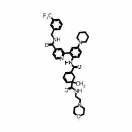 CC1(C(=O)NCCN2CCOCC2)C=CC=C(C(=O)Nc2ccc(N3CCCCC3)cc2-c2cc(C(=O)NCc3cccc(C(F)(F)F)c3)ccn2)C1